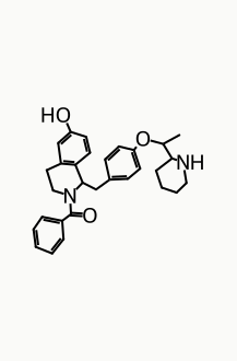 CC(Oc1ccc(CC2c3ccc(O)cc3CCN2C(=O)c2ccccc2)cc1)C1CCCCN1